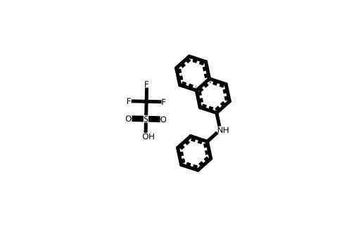 O=S(=O)(O)C(F)(F)F.c1ccc(Nc2ccc3ccccc3c2)cc1